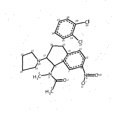 CC(=O)N(C)C1c2cc([N+](=O)[O-])ccc2CCC1N1CCCC1.Clc1ccccc1Cl